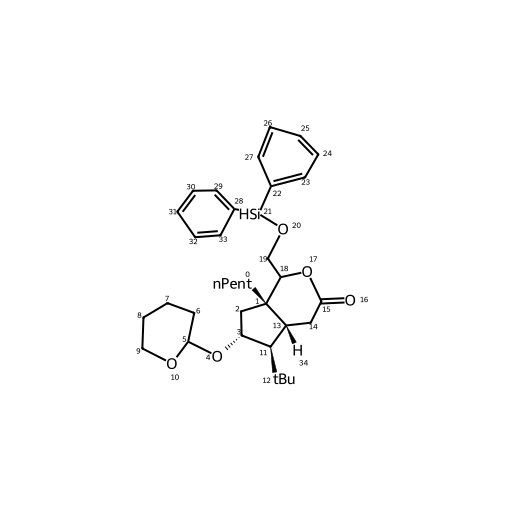 CCCCC[C@]12C[C@@H](OC3CCCCO3)[C@H](C(C)(C)C)[C@H]1CC(=O)OC2CO[SiH](c1ccccc1)c1ccccc1